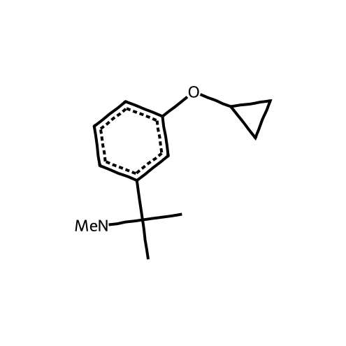 CNC(C)(C)c1cccc(OC2CC2)c1